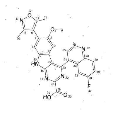 COc1cc2c(cc1-c1c(C)noc1C)[nH]c1nc(C(=O)O)nc(-c3ccnc4ccc(F)cc34)c12